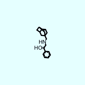 O[C@H](CNCC12CC=C3C(CC3C1)C2)c1ccccc1